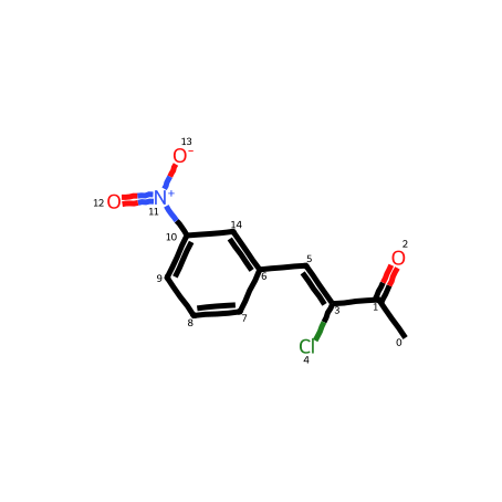 CC(=O)C(Cl)=Cc1cccc([N+](=O)[O-])c1